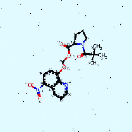 CC(C)(C)C(=O)N1CCCC1C(=O)OCOc1ccc([N+](=O)[O-])c2cccnc12